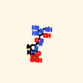 CNCN1C(=N)NC(c2nnc([C@@H]3CC4(CC4)[C@@H]4CN3C(=O)N4OS(=O)(=O)O)o2)C1O